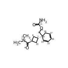 CN(C)C(=O)[C@H]1C[C@H](C2(COC(N)=O)C=CC=CC2)C1